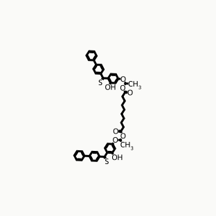 CC(OC(=O)CCCCCCCCC(=O)OC(C)Oc1ccc(C(=S)c2ccc(-c3ccccc3)cc2)c(O)c1)Oc1ccc(C(=S)c2ccc(-c3ccccc3)cc2)c(O)c1